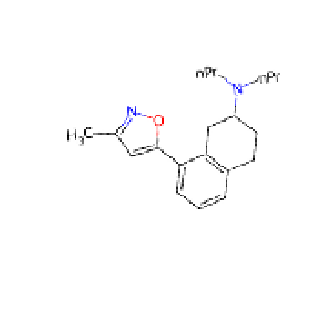 CCCN(CCC)C1CCc2cccc(-c3cc(C)no3)c2C1